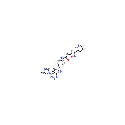 Cc1cn(-c2ncnc3[nH]c(-c4ccc(NC(=O)Cc5cc(-c6cccnc6)no5)cc4)cc23)cn1